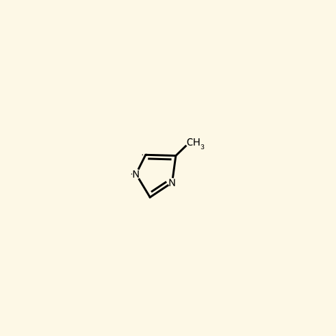 CC1=[C][N]C=N1